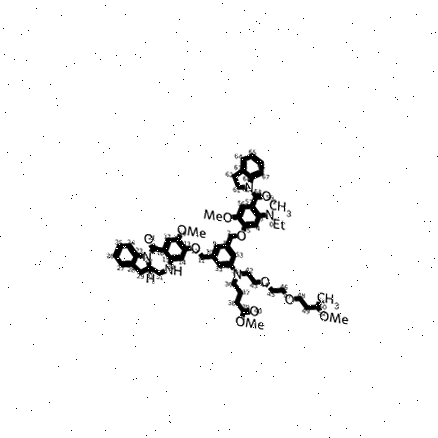 CCN(C)c1cc(OCc2cc(COc3cc4c(cc3OC)C(=O)N3c5ccccc5C[C@H]3CN4)cc(N(CCCC(=O)OC)CCOCCOCCC(C)OC)c2)c(OC)cc1C(=O)N1CCc2ccccc21